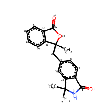 CC1(C)NC(=O)c2ccc(CC3(C)OC(=O)c4ccccc43)cc21